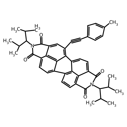 Cc1ccc(C#Cc2cc3c4c(ccc5c6ccc7c8c(ccc(c2c45)c86)C(=O)N(C(C(C)C)C(C)C)C7=O)C(=O)N(C(C(C)C)C(C)C)C3=O)cc1